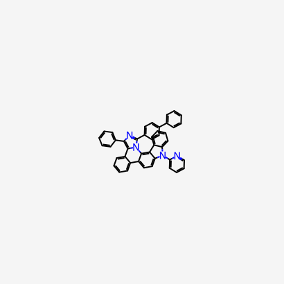 c1ccc(-c2ccc(-c3nc(-c4ccccc4)c4c5ccccc5c5ccc6c(c7ccccc7n6-c6ccccn6)c5n34)cc2)cc1